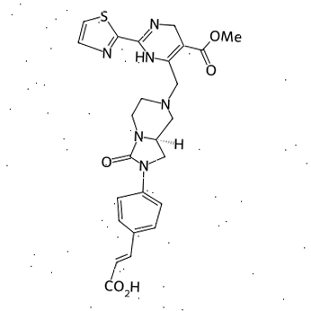 COC(=O)C1=C(CN2CCN3C(=O)N(c4ccc(/C=C/C(=O)O)cc4)C[C@@H]3C2)NC(c2nccs2)=NC1